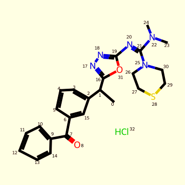 CC(c1cccc(C(=O)c2ccccc2)c1)c1nnc(N=C(N(C)C)N2CCSCC2)o1.Cl